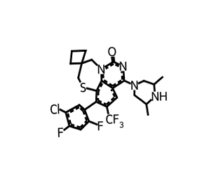 CC1CN(c2nc(=O)n3c4c(c(-c5cc(Cl)c(F)cc5F)c(C(F)(F)F)cc24)SCC2(CCC2)C3)CC(C)N1